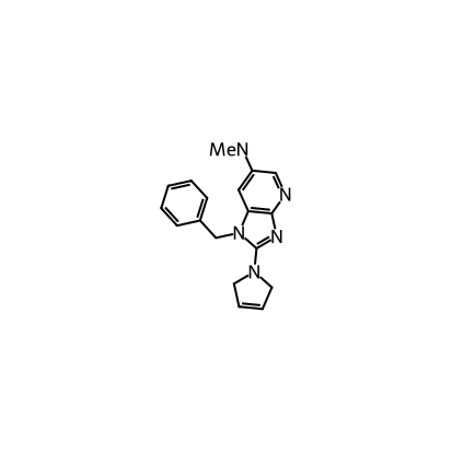 CNc1cnc2nc(N3CC=CC3)n(Cc3ccccc3)c2c1